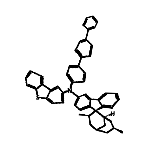 C[C@H]1CC2C[C@H](C1)[C@]1(c3ccccc3-c3cc(N(c4ccc(-c5ccc(-c6ccccc6)cc5)cc4)c4ccc5sc6ccccc6c5c4)ccc31)[C@H](C)C2